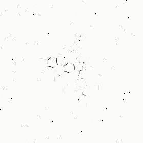 C=CC(=O)N1[C@H](C)CN(c2nc(=O)n3c4c(c(-c5ccc(F)cc5F)c(C(F)(F)F)cc24)SCC2(CN(CC)C2)C3)C[C@@H]1C